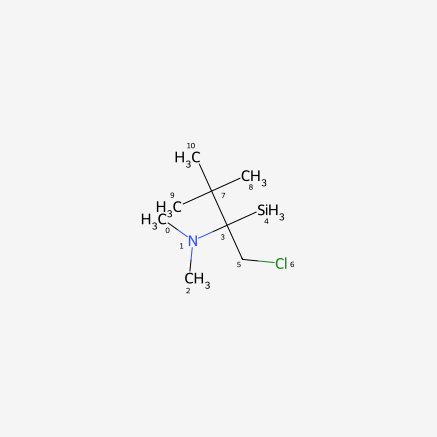 CN(C)C([SiH3])(CCl)C(C)(C)C